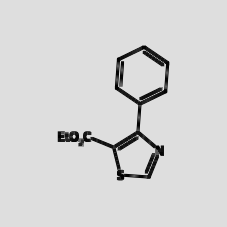 CCOC(=O)c1scnc1-c1ccccc1